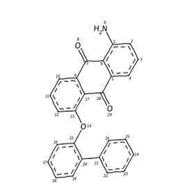 Nc1cccc2c1C(=O)c1cccc(Oc3ccccc3-c3ccccc3)c1C2=O